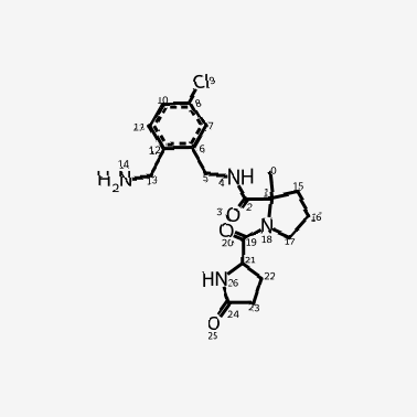 CC1(C(=O)NCc2cc(Cl)ccc2CN)CCCN1C(=O)C1CCC(=O)N1